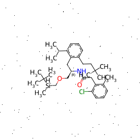 Cc1cccc(Cl)c1CC(=O)N[C@@H](COC[SiH](C)C(C)(C)C)Cc1c(CCC(C)(C)C)cccc1C(C)C